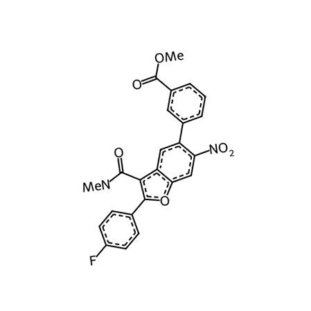 CNC(=O)c1c(-c2ccc(F)cc2)oc2cc([N+](=O)[O-])c(-c3cccc(C(=O)OC)c3)cc12